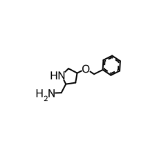 NCC1CC(OCc2ccccc2)CN1